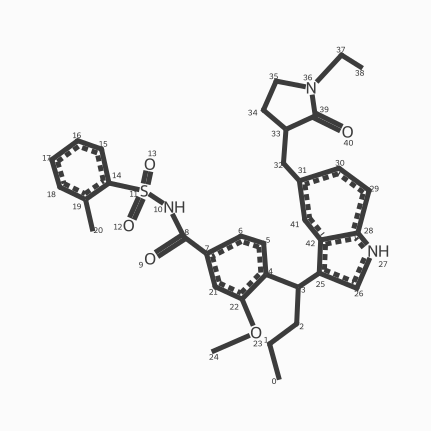 CCCC(c1ccc(C(=O)NS(=O)(=O)c2ccccc2C)cc1OC)c1c[nH]c2ccc(CC3CCN(CC)C3=O)cc12